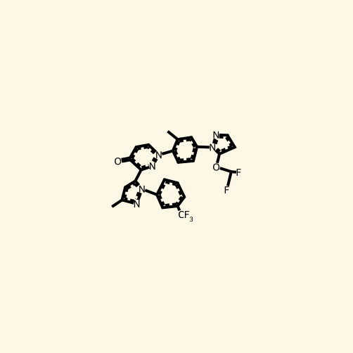 Cc1cc(-c2nn(-c3ccc(-n4nccc4OC(F)F)cc3C)ccc2=O)n(-c2cccc(C(F)(F)F)c2)n1